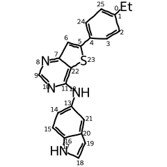 CCc1ccc(-c2cc3ncnc(Nc4ccc5[nH]ccc5c4)c3s2)cc1